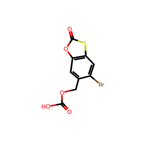 O=C(O)OCc1cc2oc(=O)sc2cc1Br